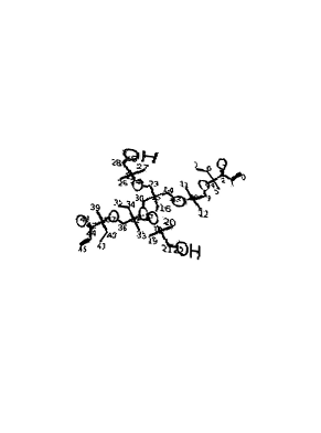 C=CC(=O)C(C)(CC)OCC(C)(C)OCC(COC(C)(C)CO)(COC(C)(C)CO)COC(C)(CC)COC(C)(CC)C(=O)C=C